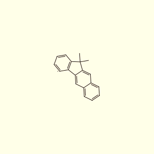 CC1(C)c2ccc[c]c2-c2cc3ccccc3cc21